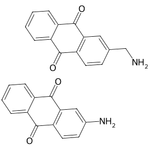 NCc1ccc2c(c1)C(=O)c1ccccc1C2=O.Nc1ccc2c(c1)C(=O)c1ccccc1C2=O